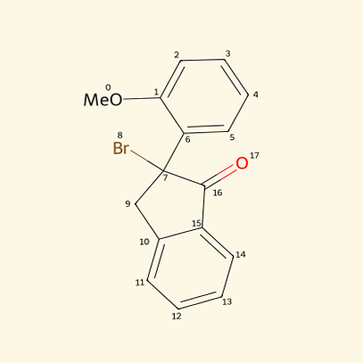 COc1ccccc1C1(Br)Cc2ccccc2C1=O